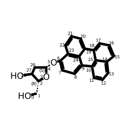 OC[C@H]1O[C@@H](Oc2ccc3c4cccc5cccc(c6cccc2c63)c54)CC1O